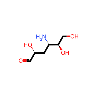 N[C@@H](C[C@@H](O)C=O)[C@H](O)CO